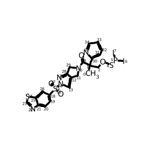 CC(COSP(I)I)(C(=O)N1Cc2cn(S(=O)(=O)c3ccc4ncsc4c3)nc2C1)c1ccccn1